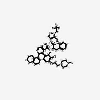 Cc1c(-c2c(-c3cccc4c3CCCC4)ncc3snc(OC(Cc4ccccc4OCc4ccnn4CC(F)(F)F)C(=O)O)c23)ccc(OCCN2CCN(C)CC2)c1Cl